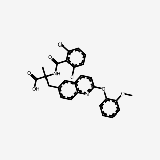 COc1ccccc1Oc1ccc2cc(CC(C)(NC(=O)c3c(Cl)cccc3Cl)C(=O)O)ccc2n1